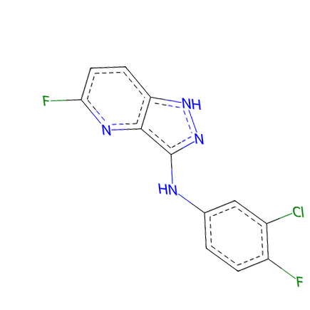 Fc1ccc2[nH]nc(Nc3ccc(F)c(Cl)c3)c2n1